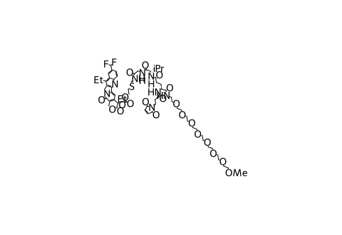 CCc1c2c(nc3ccc(C(F)F)cc13)-c1cc3c(c(=O)n1C2)COC(=O)[C@@]3(CC)OC(=O)OCCSCNC(=O)[C@H](C)NC(=O)[C@@H](NC(=O)CC[C@H](NC(=O)CCN1C(=O)C=CC1=O)C(=O)NCCOCCOCCOCCOCCOCCOCCOCCOC)C(C)C